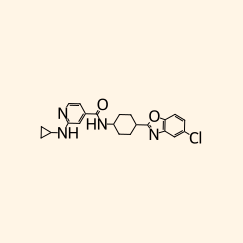 O=C(NC1CCC(c2nc3cc(Cl)ccc3o2)CC1)c1ccnc(NC2CC2)c1